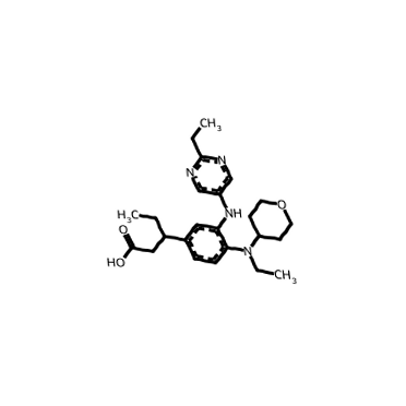 CCc1ncc(Nc2cc(C(CC)CC(=O)O)ccc2N(CC)C2CCOCC2)cn1